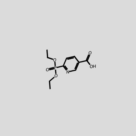 CCOP(=O)(OCC)c1ccc(C(=O)O)cn1